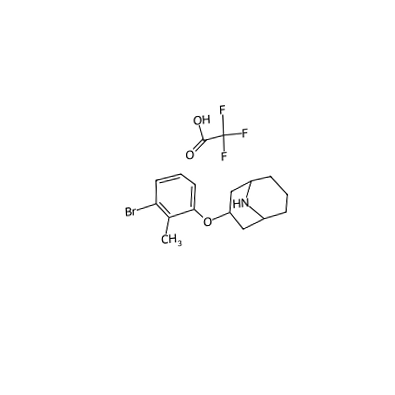 Cc1c(Br)cccc1OC1CC2CCCC(C1)N2.O=C(O)C(F)(F)F